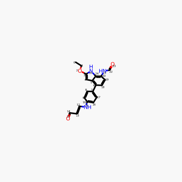 CCOc1cc2c(-c3ccc(NC=CC=O)cc3)ccc(NC=O)c2[nH]1